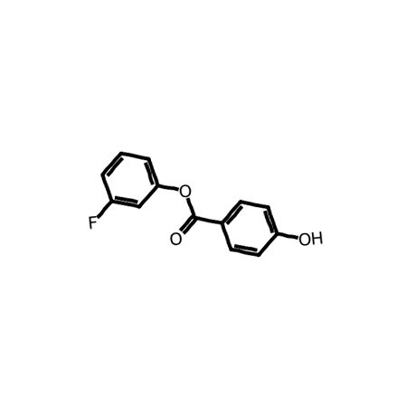 O=C(Oc1cccc(F)c1)c1ccc(O)cc1